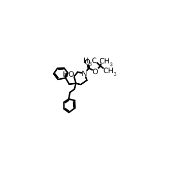 CC(C)(C)OC(=O)N1CCC(CCc2ccccc2)(Cc2ccccc2)C(O)C1